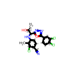 Cc1c(NC(c2nnc(-c3ccc(Cl)c(Cl)c3)o2)[C@H](C)O)ccc(C#N)c1Cl